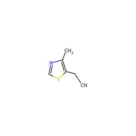 Cc1ncsc1CC#N